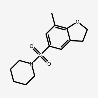 Cc1cc(S(=O)(=O)N2CCCCC2)cc2c1OCC2